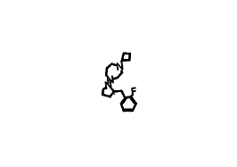 Fc1ccccc1C[C]1CCCN1N1CCCN(C2CCC2)CC1